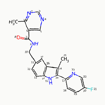 Cc1ncncc1C(=O)NCc1ccc2[nH]c(-c3ccc(F)cn3)c(C)c2c1